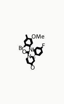 COc1cc(NC(=O)N2C=CC(=O)C[C@H]2c2ccc(F)cc2)c(Br)cc1C